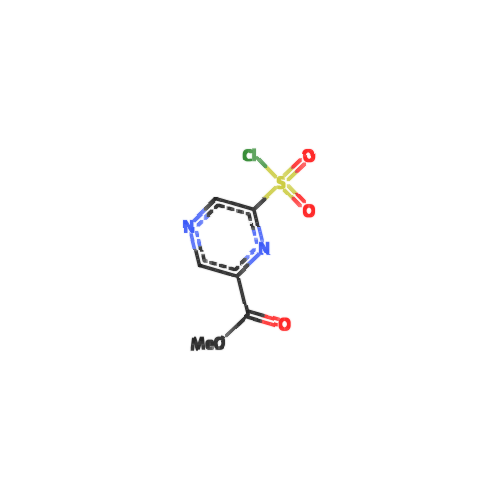 COC(=O)c1cncc(S(=O)(=O)Cl)n1